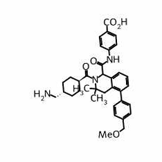 COCc1ccc(-c2cccc3c2CC(C)(C)N(C(=O)[C@H]2CC[C@H](CN)CC2)C3C(=O)Nc2ccc(C(=O)O)cc2)cc1